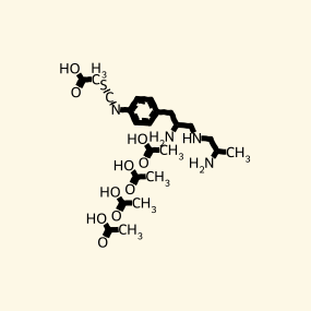 CC(=O)O.CC(=O)O.CC(=O)O.CC(=O)O.CC(=O)O.CC(N)CNCC(N)Cc1ccc(N=C=S)cc1